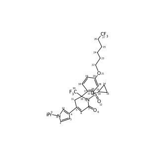 CC(C)n1ccc(C2=CC(=O)N(S(=O)(=O)C3CC3)C(c3ccc(OCCCCCC(F)(F)F)cc3)(C(F)(F)F)C2)c1